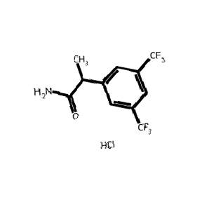 CC(C(N)=O)c1cc(C(F)(F)F)cc(C(F)(F)F)c1.Cl